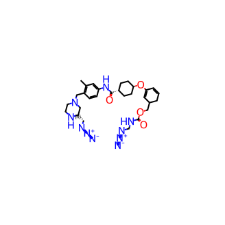 Cc1cc(NC(=O)[C@H]2CC[C@H](OC3=CC(COC(=O)NCN=[N+]=[N-])CC=C3)CC2)ccc1CN1CCN[C@@H](CN=[N+]=[N-])C1